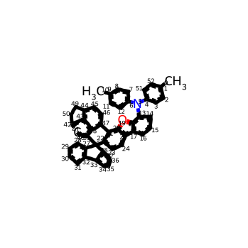 Cc1ccc(N(c2ccc(C)cc2)c2cccc3c2oc2c4c(ccc23)C2(c3ccccc3-c3ccccc32)c2ccc3c5c(ccc-4c25)CC3)cc1